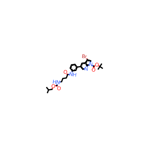 CC(C)COC(=O)NCCCC(=O)Nc1cccc(-c2cnc3c(c2)c(Br)cn3C(=O)OC(C)(C)C)c1